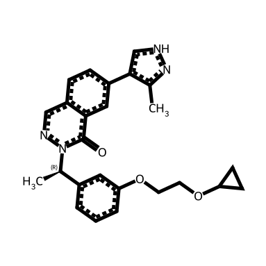 Cc1n[nH]cc1-c1ccc2cnn([C@H](C)c3cccc(OCCOC4CC4)c3)c(=O)c2c1